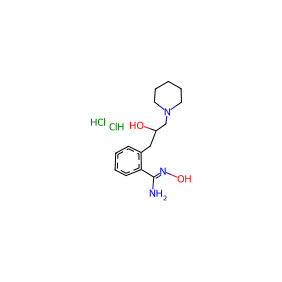 Cl.Cl.NC(=NO)c1ccccc1CC(O)CN1CCCCC1